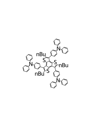 CCCCc1sc2c(c1-c1ccc(N(c3ccccc3)c3ccccc3)cc1)c1sc(CCCC)c(-c3ccc(N(c4ccccc4)c4ccccc4)cc3)c1c1sc(CCCC)c(-c3ccc(N(c4ccccc4)c4ccccc4)cc3)c21